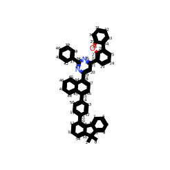 CC1(C)c2ccccc2-c2c(-c3ccc(-c4ccc(-c5cc(-c6cccc7c6oc6ccccc67)nc(-c6ccccc6)n5)c5ccccc45)cc3)cccc21